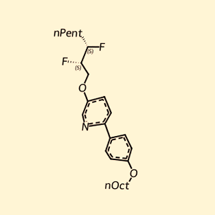 CCCCCCCCOc1ccc(-c2ccc(OC[C@H](F)[C@@H](F)CCCCC)cn2)cc1